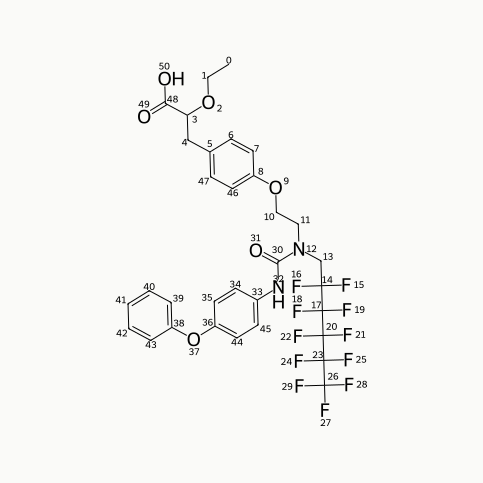 CCOC(Cc1ccc(OCCN(CC(F)(F)C(F)(F)C(F)(F)C(F)(F)C(F)(F)F)C(=O)Nc2ccc(Oc3ccccc3)cc2)cc1)C(=O)O